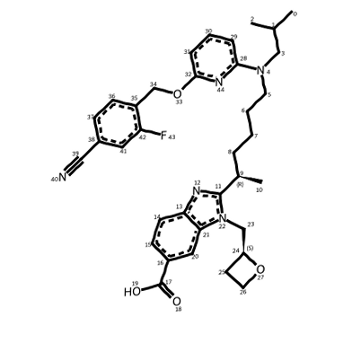 CC(C)CN(CCCC[C@@H](C)c1nc2ccc(C(=O)O)cc2n1C[C@@H]1CCO1)c1cccc(OCc2ccc(C#N)cc2F)n1